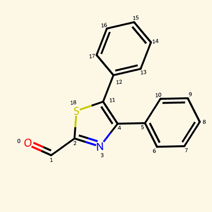 O=Cc1nc(-c2ccccc2)c(-c2ccccc2)s1